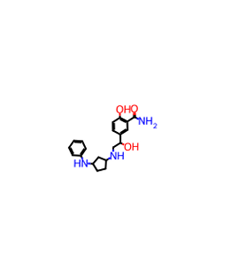 NC(=O)c1cc(C(O)CNC2CCC(Nc3ccccc3)C2)ccc1O